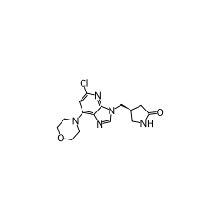 O=C1C[C@H](Cn2cnc3c(N4CCOCC4)cc(Cl)nc32)CN1